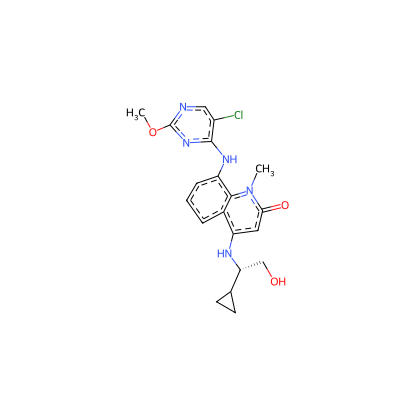 COc1ncc(Cl)c(Nc2cccc3c(N[C@H](CO)C4CC4)cc(=O)n(C)c23)n1